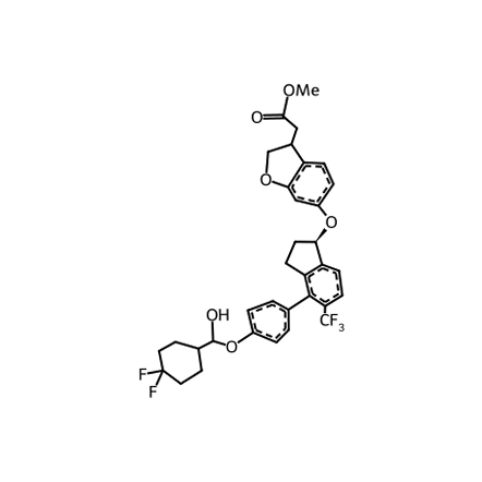 COC(=O)CC1COc2cc(O[C@@H]3CCc4c3ccc(C(F)(F)F)c4-c3ccc(OC(O)C4CCC(F)(F)CC4)cc3)ccc21